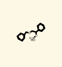 Cl.NOC(COCc1ccccc1)c1ccccc1